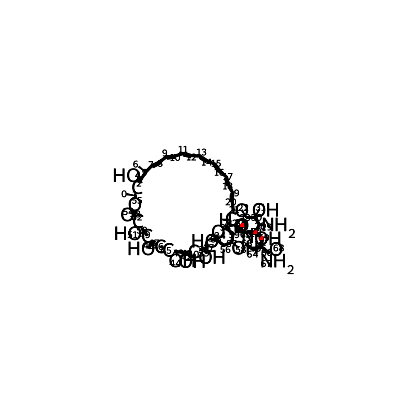 C[C@H]1C[C@H](O)[C@@H](C)/C=C/C=C/C=C/C=C/C=C/C=C/C=C/[C@H](O[C@@H]2OC[C@@H](O)[C@H](N)[C@@H]2O)C[C@@H]2O[C@](O)(CC(O)CC(O)C(O)CCC(O)CC(O)CC(=O)O1)C[C@H](O)[C@H]2C(=O)N1CCC(C(N)=O)CC1